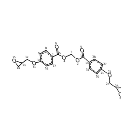 O=C(OCOC(=O)c1ccc(OCC2CO2)cc1)c1ccc(OCC2CO2)cc1